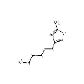 [CH2]CCCCCc1csc(C)n1